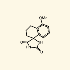 COc1cccc2c1CCCC21NC(=O)NC1=O